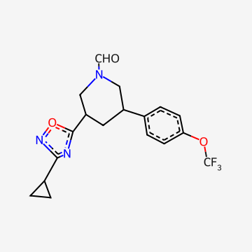 O=CN1CC(c2ccc(OC(F)(F)F)cc2)CC(c2nc(C3CC3)no2)C1